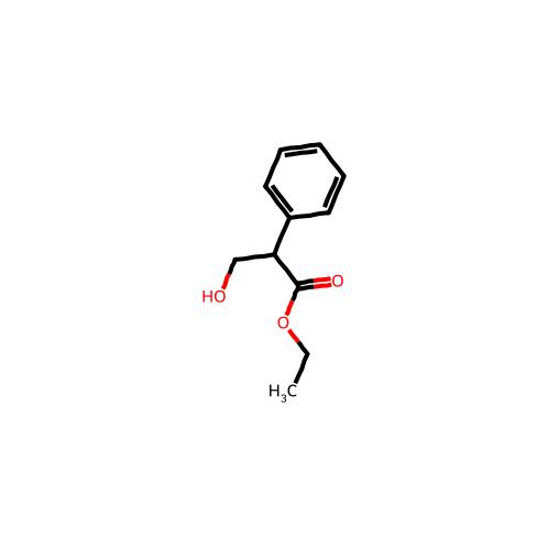 CCOC(=O)C(CO)c1ccccc1